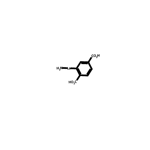 [NH2][La][c]1cc(C(=O)O)ccc1C(=O)O